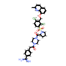 Cc1ccc2cccc(OCc3c(Cl)ccc(S(=O)(=O)N4CCCC4C(=O)N4CCN(C(=O)Cc5ccc(C(=N)N)cc5)CC4)c3Cl)c2n1